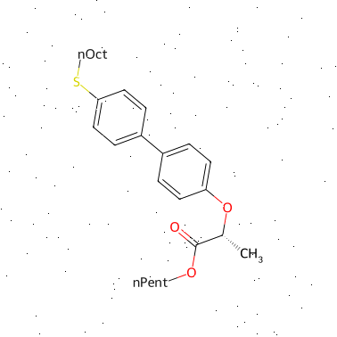 CCCCCCCCSc1ccc(-c2ccc(O[C@H](C)C(=O)OCCCCC)cc2)cc1